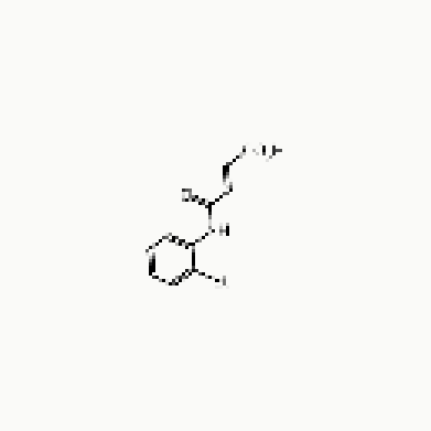 CCc1ccccc1NC(=O)C=CC(=O)O